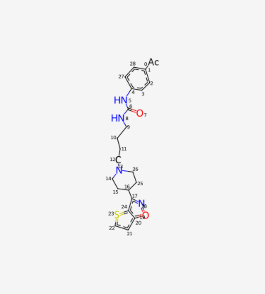 CC(=O)c1ccc(NC(=O)NCCCCN2CCC(c3noc4ccsc34)CC2)cc1